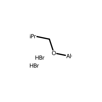 Br.Br.CC(C)C[O][Al]